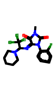 CN1C(=O)C(=NC(N2CCCCC2)C(Cl)(Cl)Cl)N(c2ccccc2F)C1=O